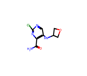 NC(=O)c1nc(Cl)ncc1NC1COC1